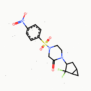 O=C1CN(S(=O)(=O)c2ccc([N+](=O)[O-])cc2)CCN1C1CC2CC2C1(F)F